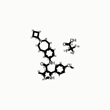 COc1ccc(-c2[nH]nc(C)c2C(=O)Nc2ccc3c(c2)CCN(C2CCC2)CC3)cc1.O=C(O)C(F)(F)F